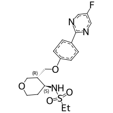 CCS(=O)(=O)N[C@H]1CCOC[C@@H]1COc1ccc(-c2ncc(F)cn2)cc1